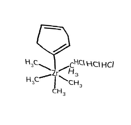 Cl.Cl.Cl.[CH3][Zr]([CH3])([CH3])([CH3])([CH3])[C]1=CC=CC1